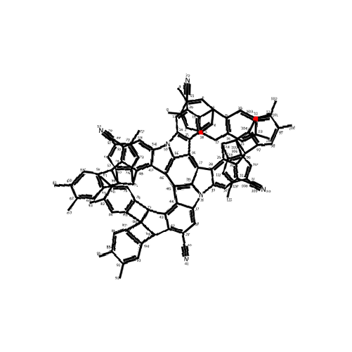 CC1=CC2=CC3(C=C1C)c1cc(C)c(C)cc1C2c1c3c(C#N)cc2c1c1c3c4c5c(c(C#N)cc4n4c6cc(C#N)c7c(c6c(c6c8c9c(c(C#N)cc8n2c16)C1c2cc(C)c(C)cc2C12c1cc(C)c(C)cc1C92)c34)C1c2cc(C)c(C)cc2C12c1cc(C)c(C)cc1C72)C1c2cc(C)c(C)cc2C12c1cc(C)c(C)cc1C52